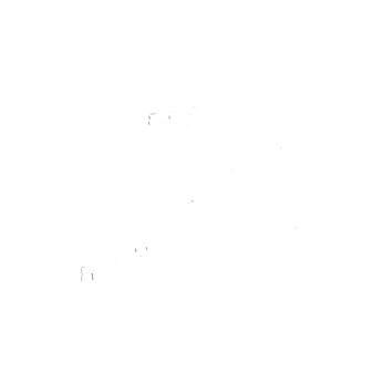 CCOC(=O)c1ccccc1COC(C)C